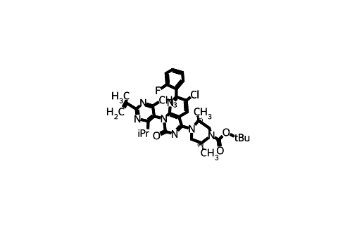 C=C(C)c1nc(C)c(-n2c(=O)nc(N3C[C@@H](C)N(C(=O)OC(C)(C)C)C[C@@H]3C)c3cc(Cl)c(-c4ccccc4F)nc32)c(C(C)C)n1